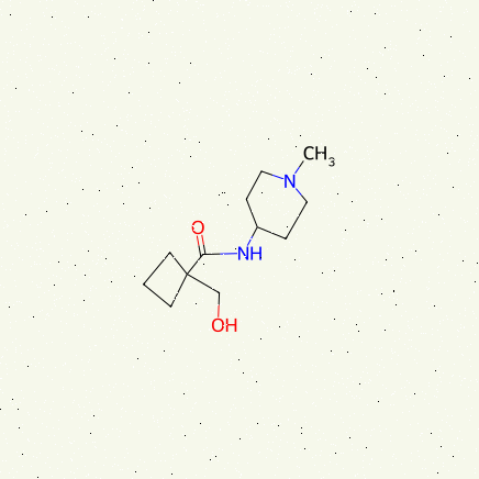 CN1CCC(NC(=O)C2(CO)CCC2)CC1